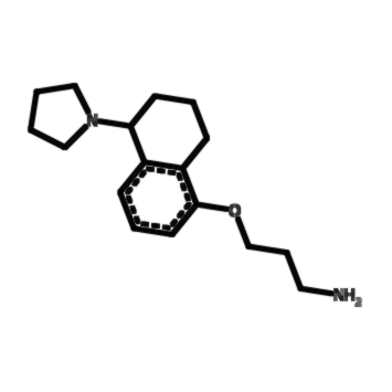 NCCCOc1cccc2c1CCCC2N1CCCC1